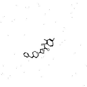 Cc1ccc(NC(=O)N2CC(N3CCC(Cc4ccccc4)CC3)C2)c(C)c1